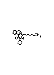 CCCCCCCC(=O)N1CCc2ccccc2C1C(=O)NC1CCCCC1